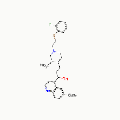 COc1ccc2nccc(C(O)CC[C@@H]3CCN(CCSc4ccccc4F)C[C@@H]3C(=O)O)c2c1